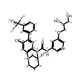 O=C(Nc1cncc(OC[C@@H](O)CO)c1)N1c2nc(-c3cccc(C(F)(F)F)c3)c(Cl)cc2N2CCC[C@H]1C2